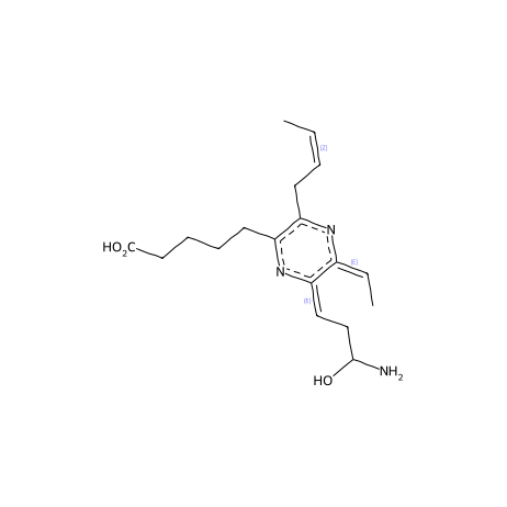 C/C=C\Cc1nc(=C/C)/c(=C\CC(N)O)nc1CCCCC(=O)O